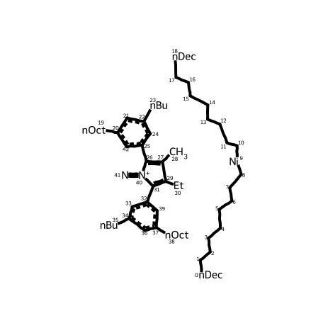 CCCCCCCCCCCCCCCCC[CH2][Ni][CH2]CCCCCCCCCCCCCCCCC.CCCCCCCCc1cc(CCCC)cc(C2=C(C)C(CC)=C(c3cc(CCCC)cc(CCCCCCCC)c3)[N+]2=[N-])c1